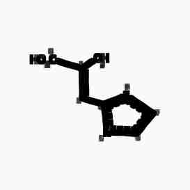 O=C(O)C(O)=Cc1nccs1